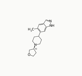 Cc1cc2cn[nH]c2cc1C1CCN([C@H]2CCOC2)CC1